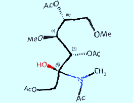 COC[C@@H](OC(C)=O)[C@H](OC)[C@H](OC(C)=O)[C@@](O)(COC(C)=O)N(C)C(C)=O